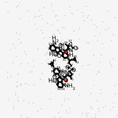 Cc1cc(S(=O)(=O)CCC(c2ccc3c(c2)O[C@]2(O)c4cccc(N)c4C(=O)[C@]32NC(=O)c2[nH]c(=O)n(C)c2C)C2CC2)[nH]c1C(=O)NC12C(=O)c3c(N)cccc3C1(O)Oc1cc([C@H]3C[C@H]3C)ccc12